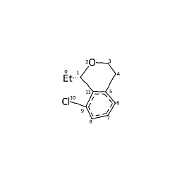 CC[C@@H]1OCCc2cccc(Cl)c21